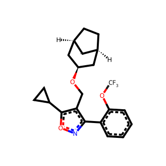 FC(F)(F)Oc1ccccc1-c1noc(C2CC2)c1CO[C@H]1C[C@@H]2[CH][C@@H](CC2)C1